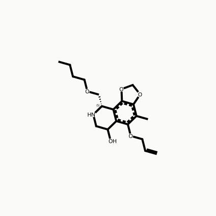 C=CCOc1c(C)c2c(c3c1C(O)CN[C@@H]3COCCCC)OCO2